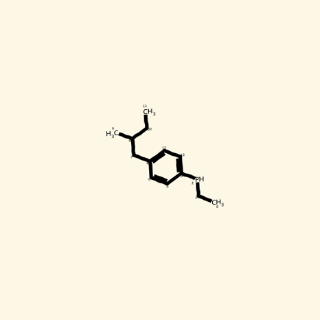 CCPc1ccc(CC(C)CC)cc1